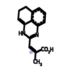 C/C(=C/C1=Nc2cccc3c2C(=CCC3)N1)C(=O)O